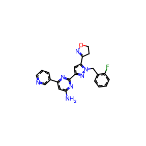 Nc1cc(-c2cccnc2)nc(-c2cc(C3=NOCC3)n(Cc3ccccc3F)n2)n1